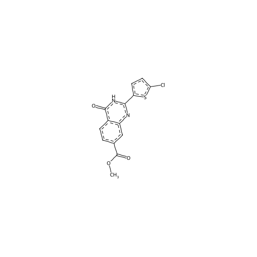 COC(=O)c1ccc2c(=O)[nH]c(-c3ccc(Cl)s3)nc2c1